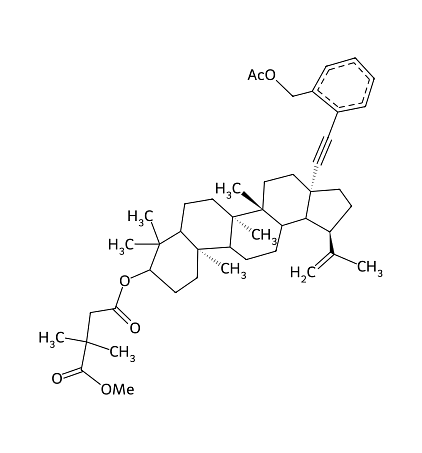 C=C(C)[C@@H]1CC[C@]2(C#Cc3ccccc3COC(C)=O)CC[C@]3(C)C(CCC4[C@@]5(C)CCC(OC(=O)CC(C)(C)C(=O)OC)C(C)(C)C5CC[C@]43C)C12